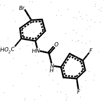 O=C(Nc1cc(F)cc(F)c1)Nc1ccc(Br)cc1C(=O)O